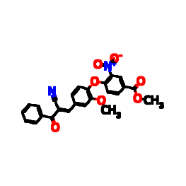 COC(=O)c1ccc(Oc2ccc(/C=C(\C#N)C(=O)c3ccccc3)cc2OC)c([N+](=O)[O-])c1